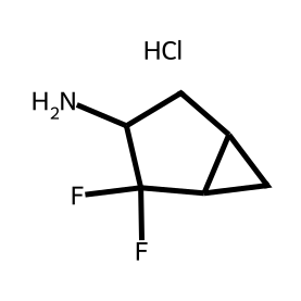 Cl.NC1CC2CC2C1(F)F